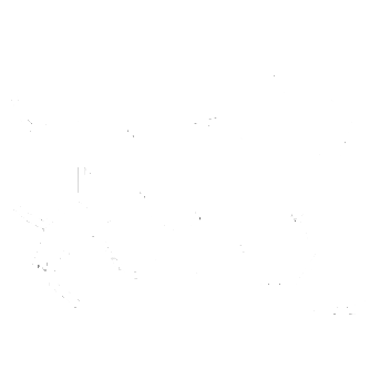 N#Cc1ccccc1-c1ccc2c3ccc(-c4ccccc4C#N)cc3n(-c3cc(-c4ccccc4F)ccc3-c3nc(-c4ccccc4)nc(-c4ccccc4)n3)c2c1